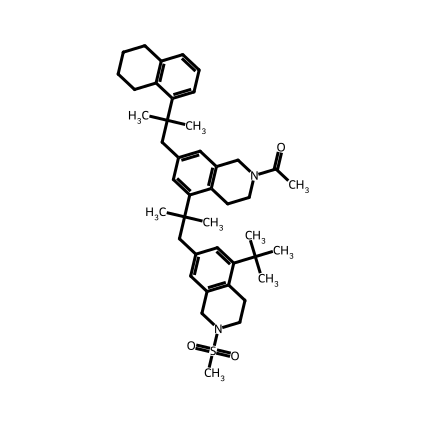 CC(=O)N1CCc2c(cc(CC(C)(C)c3cccc4c3CCCC4)cc2C(C)(C)Cc2cc3c(c(C(C)(C)C)c2)CCN(S(C)(=O)=O)C3)C1